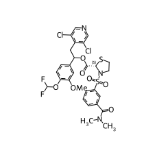 COc1cc(C(Cc2c(Cl)cncc2Cl)OC(=O)[C@@H]2SCCN2S(=O)(=O)c2cccc(C(=O)N(C)C)c2)ccc1OC(F)F